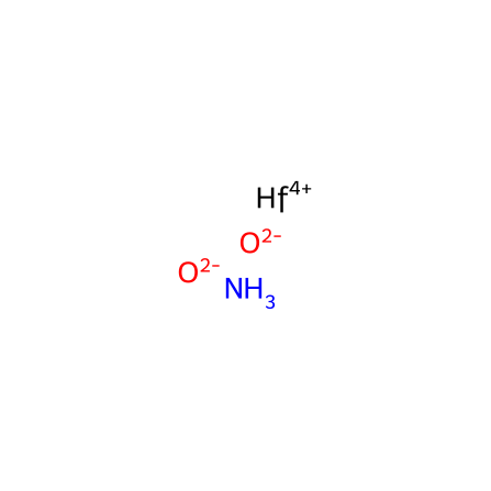 N.[Hf+4].[O-2].[O-2]